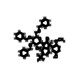 COc1ccc(Cl)cc1[C@]1(F)C(=O)N([C@@H]2O[C@H](COCc3ccccc3)[C@H](OCc3ccccc3)[C@@H](OCc3ccccc3)[C@H]2O)c2cc(C(F)(F)F)ccc21